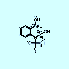 CC(C)(C)N(c1ccccc1B(O)O)S(=O)(=O)O